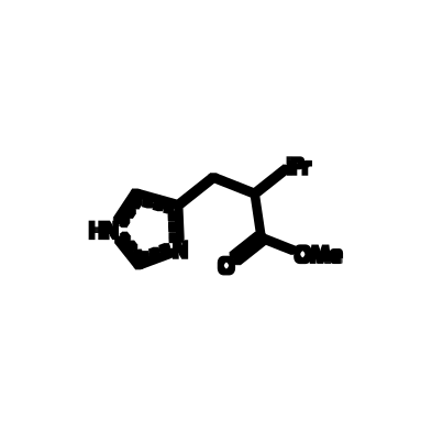 COC(=O)C(Cc1c[nH]cn1)C(C)C